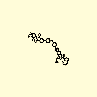 O=C1CCC(N2C(=O)c3ccc(C4CCN(CC5CCC(n6cc7cc(NC(=O)c8cnn9cccnc89)c(OCC8CC8)cc7n6)CC5)CC4)cc3C2=O)C(=O)N1